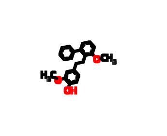 COc1cc(CCc2c(OC)cccc2-c2ccccc2)ccc1O